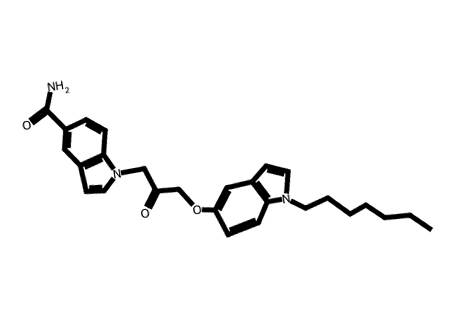 CCCCCCCn1ccc2cc(OCC(=O)Cn3ccc4cc(C(N)=O)ccc43)ccc21